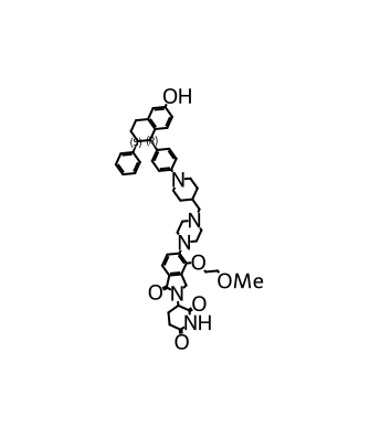 COCCOc1c(N2CCN(CC3CCN(c4ccc([C@@H]5c6ccc(O)cc6CC[C@@H]5c5ccccc5)cc4)CC3)CC2)ccc2c1CN(C1CCC(=O)NC1=O)C2=O